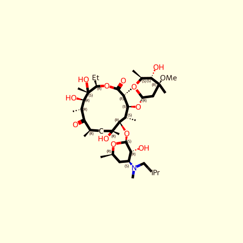 CC[C@H]1OC(=O)[C@H](C)[C@@H](O[C@H]2C[C@@](C)(OC)[C@@H](O)[C@H](C)O2)[C@H](C)[C@@H](O[C@@H]2O[C@H](C)C[C@H](N(C)CC(C)C)[C@H]2O)[C@](C)(O)C[C@@H](C)C(=O)[C@H](C)[C@@H](O)[C@]1(C)O